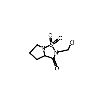 O=C1C2CCCN2S(=O)(=O)N1CCl